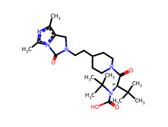 Cc1nc(C)n2c1CN(CCC1CCN(C(=O)[C@H](N(C(=O)O)C(C)(C)C)C(C)(C)C)CC1)C2=O